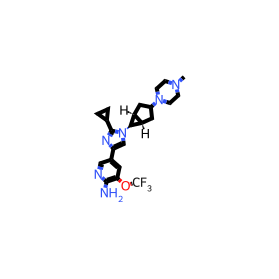 CN1CCN(C2C[C@@H]3[C@H](C2)[C@H]3n2cc(-c3cnc(N)c(OC(F)(F)F)c3)nc2C2CC2)CC1